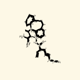 C=CC(C/C=C/N=[N+]=[N-])S(=O)OO[C@@H](C(N)CC)C(C)N1c2ccccc2CCc2ccccc21